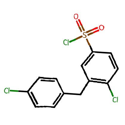 O=S(=O)(Cl)c1ccc(Cl)c(Cc2ccc(Cl)cc2)c1